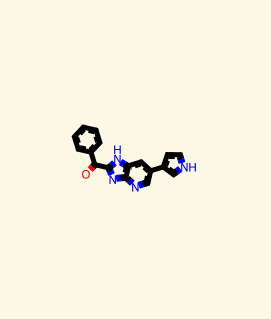 O=C(c1ccccc1)c1nc2ncc(-c3cc[nH]c3)cc2[nH]1